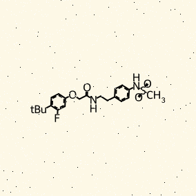 CC(C)(C)c1ccc(OCC(=O)NCCc2ccc(NS(C)(=O)=O)cc2)cc1F